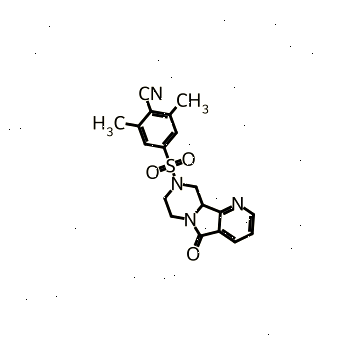 Cc1cc(S(=O)(=O)N2CCN3C(=O)c4cccnc4C3C2)cc(C)c1C#N